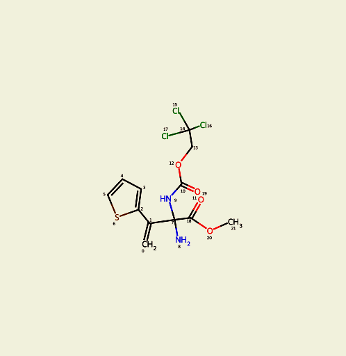 C=C(c1cccs1)C(N)(NC(=O)OCC(Cl)(Cl)Cl)C(=O)OC